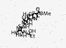 CCC(O)CNC(=N)c1c(O)nsc1Nc1nc(C)c(C(=O)Nc2ncc(C(=O)OC)cc2C)s1